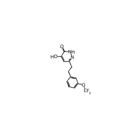 O=c1[nH]nc(CCc2cccc(OC(F)(F)F)c2)cc1O